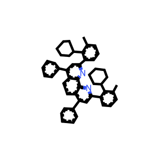 Cc1cccc(-c2cc(-c3ccccc3)c3ccc4c(-c5ccccc5)cc(-c5cccc(C)c5C5CCCCC5)nc4c3n2)c1C1CCCCC1